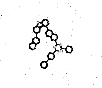 c1ccc(C2=NC(c3ccc4cc(-c5cccc6oc7ccc(-c8ccc9ccccc9c8)cc7c56)ccc4c3)=NC(c3ccc(-c4ccccc4)cc3)N2)cc1